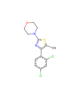 N#Cc1sc(N2CCOCC2)nc1-c1ccc(Cl)cc1Cl